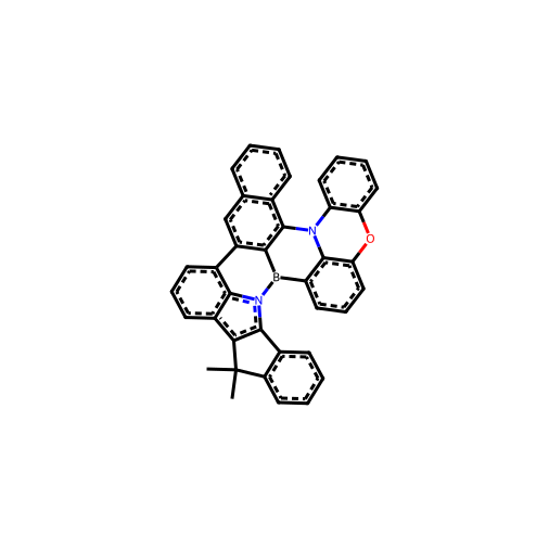 CC1(C)c2ccccc2-c2c1c1cccc3c1n2B1c2cccc4c2N(c2ccccc2O4)c2c1c-3cc1ccccc21